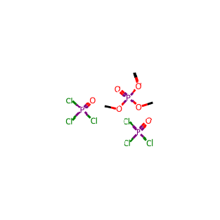 COP(=O)(OC)OC.O=P(Cl)(Cl)Cl.O=P(Cl)(Cl)Cl